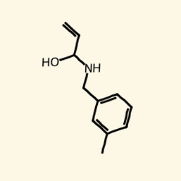 C=CC(O)NCc1cccc(C)c1